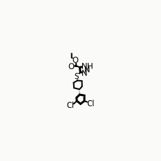 CCOC(=O)c1[nH]nnc1S[C@H]1CC[C@@H](c2cc(Cl)cc(Cl)c2)CC1